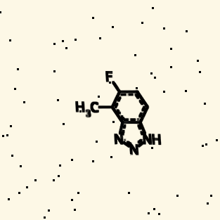 Cc1c(F)ccc2[nH]nnc12